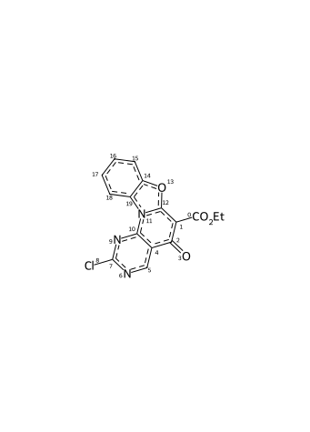 CCOC(=O)c1c(=O)c2cnc(Cl)nc2n2c1oc1ccccc12